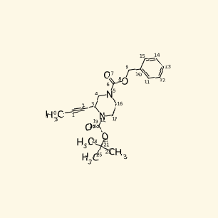 CC#CC1CN(C(=O)OCc2ccccc2)CCN1C(=O)OC(C)(C)C